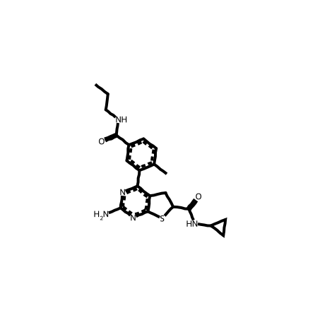 CCCNC(=O)c1ccc(C)c(-c2nc(N)nc3c2CC(C(=O)NC2CC2)S3)c1